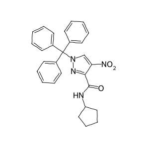 O=C(NC1CCCC1)c1nn(C(c2ccccc2)(c2ccccc2)c2ccccc2)cc1[N+](=O)[O-]